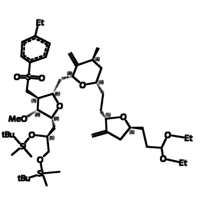 C=C1C[C@H](CCC(OCC)OCC)O[C@H]1CC[C@H]1C[C@H](C)C(=C)[C@@H](C[C@@H]2O[C@H](C[C@@H](CO[Si](C)(C)C(C)(C)C)O[Si](C)(C)C(C)(C)C)[C@H](OC)[C@H]2CS(=O)(=O)c2ccc(CC)cc2)O1